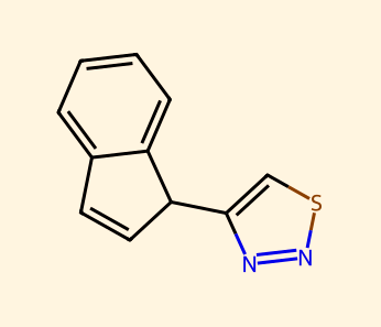 C1=CC(c2csnn2)c2ccccc21